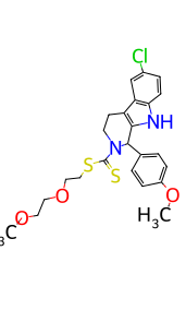 COCCOCCSC(=S)N1CCc2c([nH]c3ccc(Cl)cc23)C1c1ccc(OC)cc1